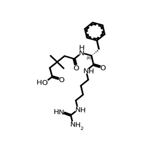 CC(C)(CC(=O)O)CC(=O)N[C@H](Cc1ccccc1)C(=O)NCCCCNC(=N)N